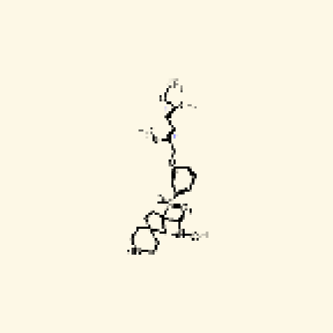 C=C/C(=C\C=C(/C)OC(F)(F)F)COc1cccc(S(=O)(=O)C2(C(=O)NO)CCC3(CCNCC3)C2)c1